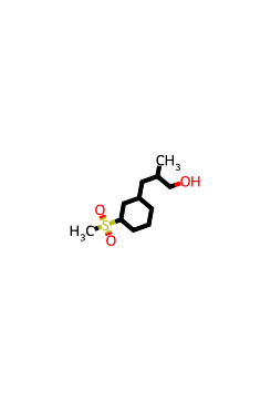 CC(CO)CC1CCCC(S(C)(=O)=O)C1